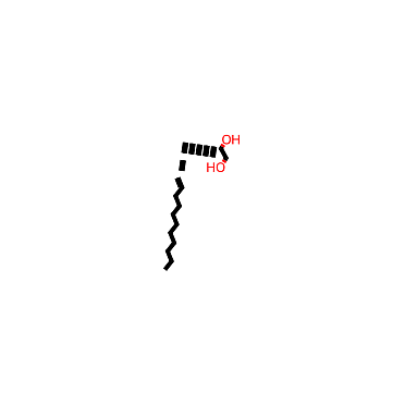 C=C.C=C.C=C.C=C.C=C.C=C.C=CCCCCCCCCC.OCCO